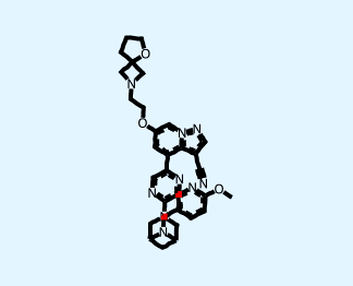 COc1ccc(CN2C3CC2CN(c2cnc(-c4cc(OCCN5CC6(CCCO6)C5)cn5ncc(C#N)c45)cn2)C3)cn1